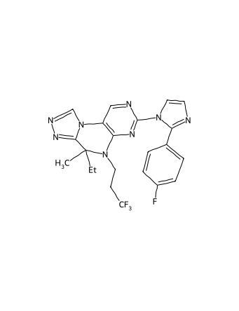 CCC1(C)c2nncn2-c2cnc(-n3ccnc3-c3ccc(F)cc3)nc2N1CCC(F)(F)F